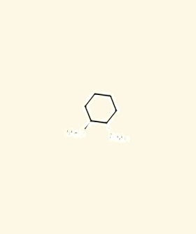 CO[C@H]1CCCC[C@@H]1OC